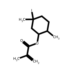 C=C(C)C(=O)OC1CC(C)(I)CCC1C